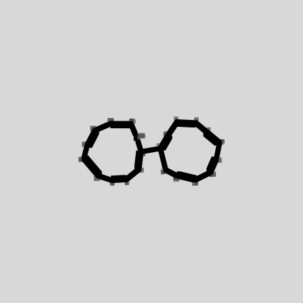 C1=CC=CC=C(C2=CC=CC=CC=CC=CC2)CC=CC=C1